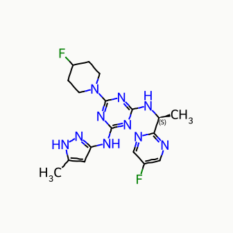 Cc1cc(Nc2nc(N[C@@H](C)c3ncc(F)cn3)nc(N3CCC(F)CC3)n2)n[nH]1